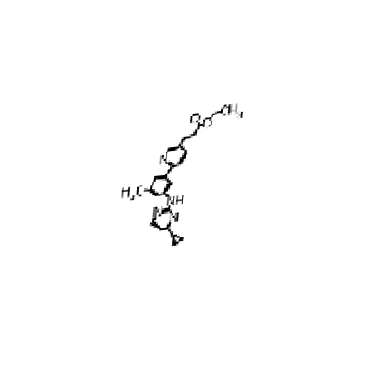 CCOC(=O)CCc1ccc(-c2cc(C)cc(Nc3nccc(C4CC4)n3)c2)nc1